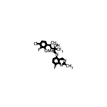 COc1c(C(C)CC(O)(C=Nc2ccc(F)c3nc(C)ncc23)C(F)(F)F)ccc(Cl)c1F